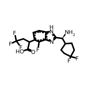 N[C@H](c1nc2c(F)c(C(CC(F)(F)F)C(=O)O)ccc2[nH]1)C1CCC(F)(F)CC1